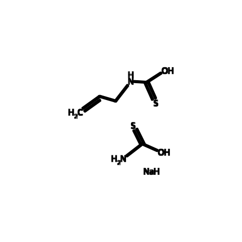 C=CCNC(O)=S.NC(O)=S.[NaH]